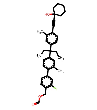 CCC(CC)(c1ccc(C#CC2(O)CCCCC2)c(C)c1)c1ccc(-c2ccc(COC=O)c(F)c2)c(C)c1